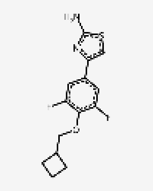 Nc1nc(-c2cc(F)c(OCC3CCC3)c(F)c2)cs1